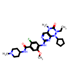 CCN1C(=O)N(C)c2cnc(Nc3cc(F)c(C(=O)NC4CCN(C)CC4)cc3OC)nc2N1C1CCCC1